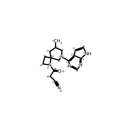 CC1CN(c2ncnc3[nH]ccc23)CC2(CCN2C(=O)CC#N)C1